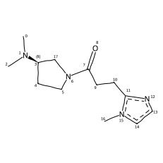 CN(C)[C@@H]1CCN(C(=O)CCc2nccn2C)C1